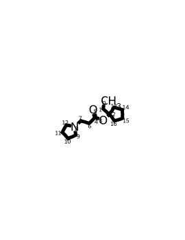 CCC1(OC(=O)CCN2CCCC2)CCCC1